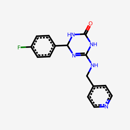 O=C1NC(NCc2ccncc2)=NC(c2ccc(F)cc2)N1